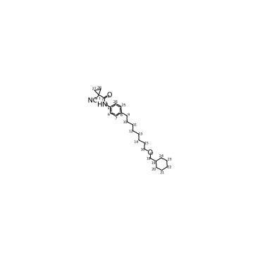 N#CC1(C(=O)Nc2ccc(CCCCCCCCOCC3CCCCC3)cc2)CC1